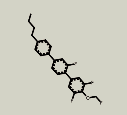 CCCCc1ccc(-c2ccc(-c3cc(F)c(OCF)c(F)c3)c(F)c2)cc1